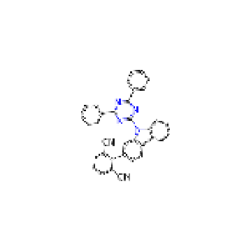 N#Cc1cccc(C#N)c1-c1ccc2c3ccccc3n(-c3nc(-c4ccccc4)nc(-c4ccccc4)n3)c2c1